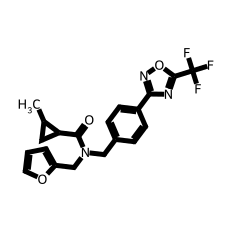 CC1CC1C(=O)N(Cc1ccc(-c2noc(C(F)(F)F)n2)cc1)Cc1ccco1